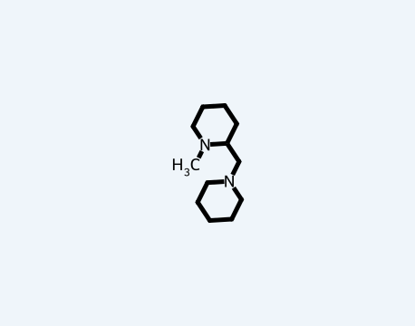 CN1CCCCC1CN1CCCCC1